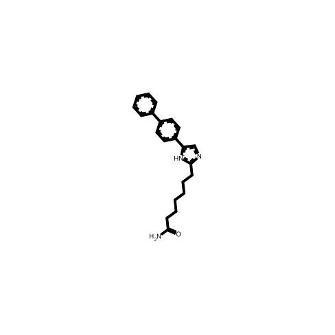 NC(=O)CCCCCCc1ncc(-c2ccc(-c3ccccc3)cc2)[nH]1